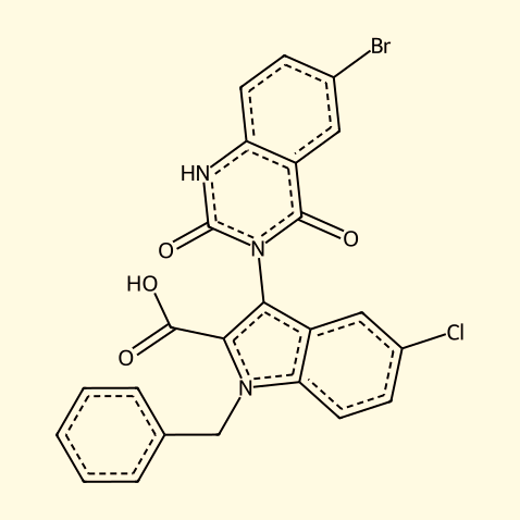 O=C(O)c1c(-n2c(=O)[nH]c3ccc(Br)cc3c2=O)c2cc(Cl)ccc2n1Cc1ccccc1